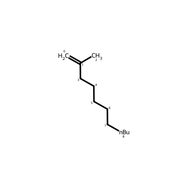 C=C(C)CCCCCCCCC